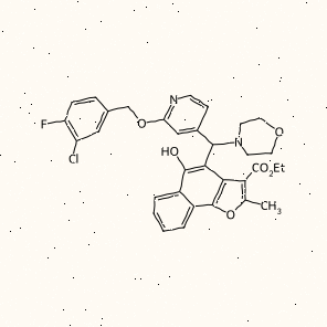 CCOC(=O)c1c(C)oc2c1c(C(c1ccnc(OCc3ccc(F)c(Cl)c3)c1)N1CCOCC1)c(O)c1ccccc12